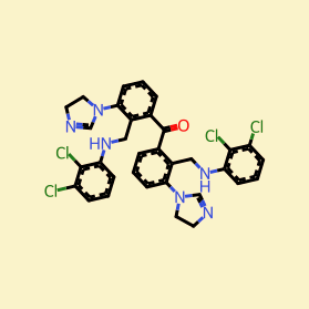 O=C(c1cccc(N2C=NCC2)c1CNc1cccc(Cl)c1Cl)c1cccc(N2C=NCC2)c1CNc1cccc(Cl)c1Cl